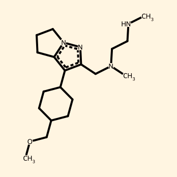 CNCCN(C)Cc1nn2c(c1C1CCC(COC)CC1)CCC2